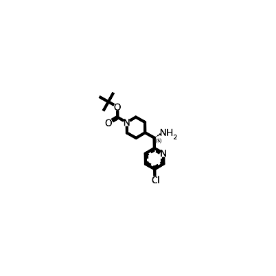 CC(C)(C)OC(=O)N1CCC([C@H](N)c2ccc(Cl)cn2)CC1